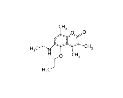 CCCOc1c(NCC)cc(C)c2oc(=O)c(C)c(C)c12